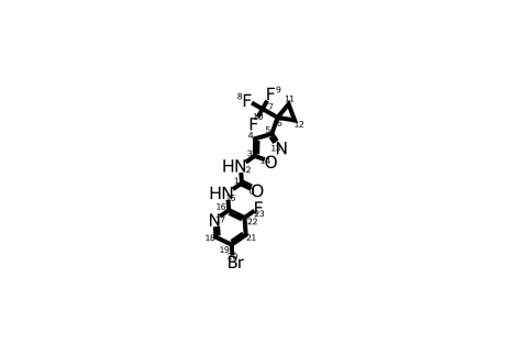 O=C(Nc1cc(C2(C(F)(F)F)CC2)no1)Nc1ncc(Br)cc1F